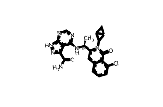 C[C@H](Nc1ncnc2[nH]nc(C(N)=O)c12)c1cc2cccc(Cl)c2c(=O)n1C1C2CC21